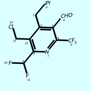 CC(C)Cc1c([C]=O)c(C(F)(F)F)nc(C(F)F)c1CCl